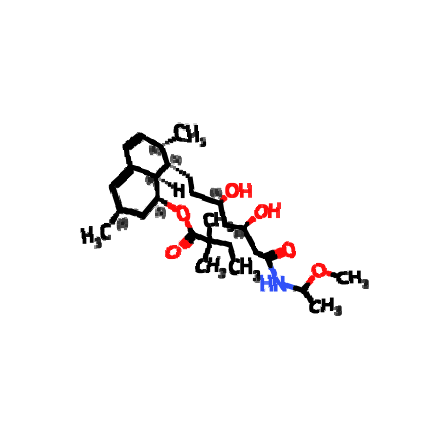 CCC(C)(C)C(=O)O[C@H]1C[C@@H](C)C=C2C=C[C@H](C)[C@H](CC[C@@H](O)C[C@@H](O)CC(=O)NC(C)OC)[C@H]21